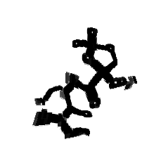 CCCCN(CCCC)C(=O)[C@H](CC(C)C)NC(=O)C1(C(=O)O)COS(=O)(=O)O1